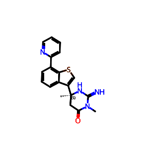 CN1C(=N)N[C@](C)(c2csc3c(-c4ccccn4)cccc23)CC1=O